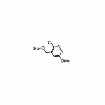 COc1cc(COC(C)(C)C)c(Cl)nn1